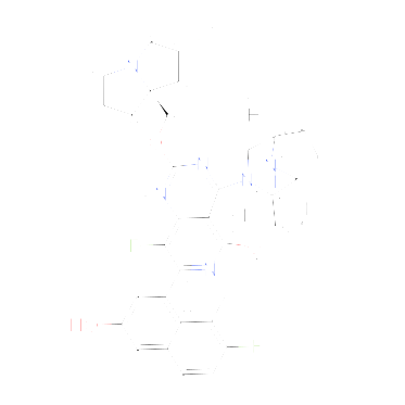 Cc1c(F)ccc2cc(O)cc(-c3nc4c5c(nc(OC[C@@]67CCCN6C[C@H](F)C7)nc5c3F)N3C[C@H]5CC[C@H](N5)[C@H]3CO4)c12